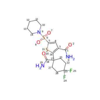 NC(=O)c1cc(S(=O)(=O)N2CCCCC2)sc1C1(C(N)=O)CCC(F)(F)CC1